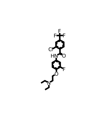 CCN(CC)CCOc1ccc(NC(=O)c2ccc(C(F)(F)F)cc2Cl)cc1F